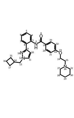 O=C(Nc1ccccc1-c1ccn(CC2CCC2)n1)c1ccc(OCCN2CCCCC2)cc1